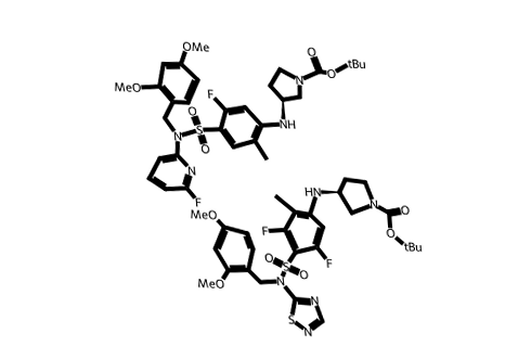 COc1ccc(CN(c2cccc(F)n2)S(=O)(=O)c2cc(C)c(N[C@H]3CCN(C(=O)OC(C)(C)C)C3)cc2F)c(OC)c1.COc1ccc(CN(c2ncns2)S(=O)(=O)c2c(F)cc(N[C@H]3CCN(C(=O)OC(C)(C)C)C3)c(C)c2F)c(OC)c1